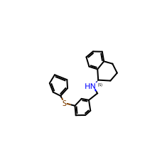 c1ccc(Sc2cccc(CN[C@H]3CCCc4ccccc43)c2)cc1